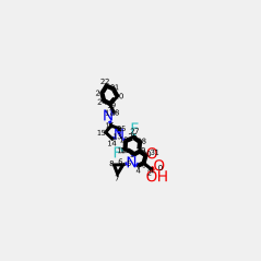 O=C(O)c1cn(C2CC2)c2c(F)c(N3CCC(N=Cc4ccccc4)C3)c(F)cc2c1=O